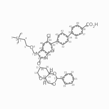 C[Si](C)(C)CCOCn1c(O[C@H]2CO[C@@H]3COC(c4ccccc4)O[C@H]3C2)nc2nc(-c3ccc(-c4ccc(C(=O)O)cc4)cc3)c(Cl)cc21